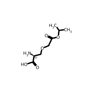 CC(C)OC(=O)COC[C@H](N)C(=O)O